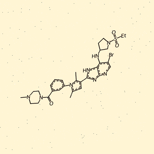 CCS(=O)(=O)N1CCC(Nc2c(Br)cnc3nc(-c4cc(C)n(-c5cccc(C(=O)N6CCN(C)CC6)c5)c4C)[nH]c23)C1